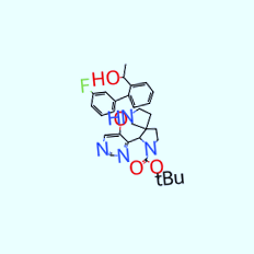 CC(O)c1ccccc1-c1cc(F)ccc1Oc1cncnc1C1N(C(=O)OC(C)(C)C)CCC12CCNC2